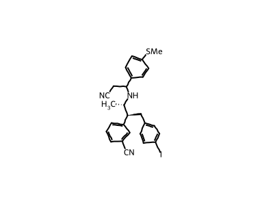 CSc1ccc(C(CC#N)N[C@@H](C)[C@@H](Cc2ccc(I)cc2)c2cccc(C#N)c2)cc1